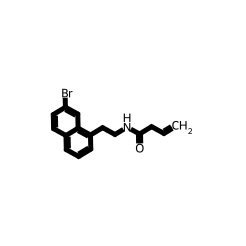 C=CCC(=O)NCCc1cccc2ccc(Br)cc12